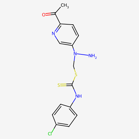 CC(=O)c1ccc(N(N)CSC(=S)Nc2ccc(Cl)cc2)cn1